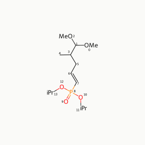 COC(OC)C(C)CC=CP(=O)(OC(C)C)OC(C)C